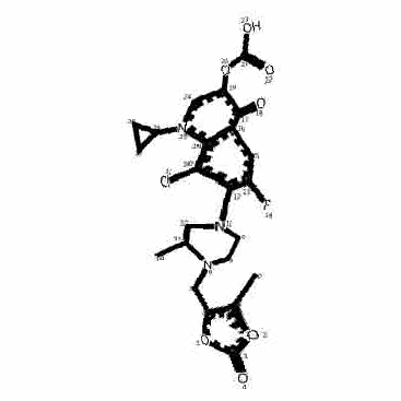 Cc1oc(=O)oc1CN1CCN(c2c(F)cc3c(=O)c(OC(=O)O)cn(C4CC4)c3c2Cl)CC1C